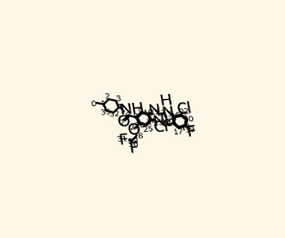 CC1CCC(NC(=O)c2cc3nc(Nc4c(Cl)cc(F)cc4Cl)[nH]c3cc2OCC(F)F)CC1